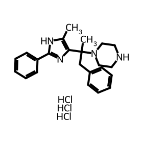 Cc1[nH]c(-c2ccccc2)nc1C(C)(Cc1ccccc1)N1CCNCC1.Cl.Cl.Cl